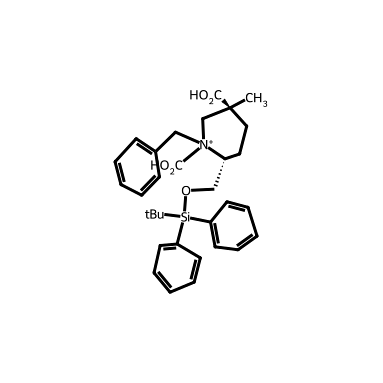 CC(C)(C)[Si](OC[C@H]1CC[C@](C)(C(=O)O)C[N+]1(Cc1ccccc1)C(=O)O)(c1ccccc1)c1ccccc1